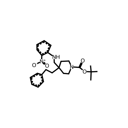 CC(C)(C)OC(=O)N1CCC(CCc2ccccc2)(CNc2ccccc2[N+](=O)[O-])CC1